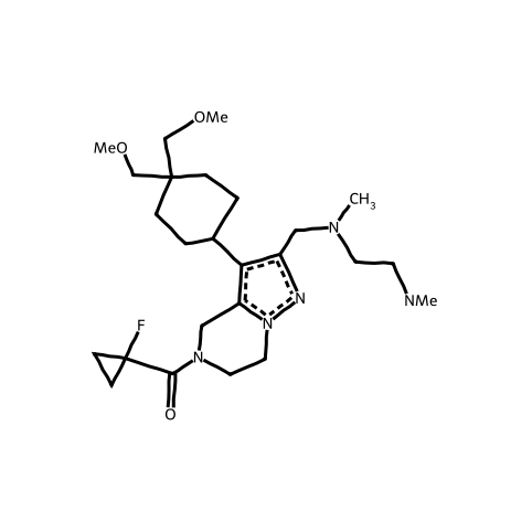 CNCCN(C)Cc1nn2c(c1C1CCC(COC)(COC)CC1)CN(C(=O)C1(F)CC1)CC2